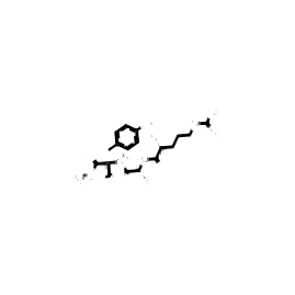 COC(=O)[C@@](Cc1ccc(O)cc1)(C(=O)OC(C)(C)C)N(C(=O)[C@@H](NC(=O)[C@@H](N)CCCNC(=N)N)C(C)C)[N+](=O)[O-]